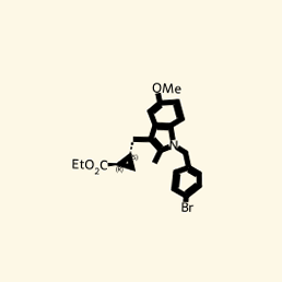 CCOC(=O)[C@@H]1C[C@H]1Cc1c(C)n(Cc2ccc(Br)cc2)c2ccc(OC)cc12